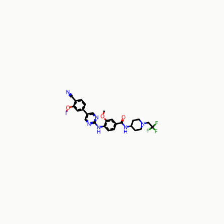 COc1cc(C(=O)NC2CCN(CC(F)(F)F)CC2)ccc1Nc1ncc(-c2ccc(C#N)c(OI)c2)cn1